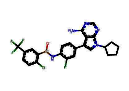 Nc1ncnc2c1c(-c1ccc(N[S+]([O-])c3cc(C(F)(F)F)ccc3Cl)c(F)c1)cn2C1CCCC1